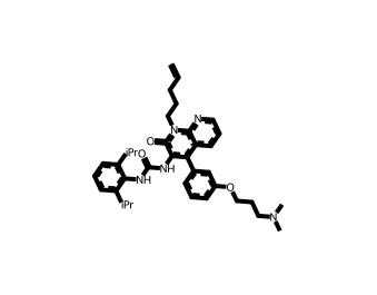 C=CCCCn1c(=O)c(NC(=O)Nc2c(C(C)C)cccc2C(C)C)c(-c2cccc(OCCCN(C)C)c2)c2cccnc21